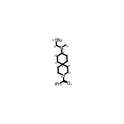 CC(C)C(=O)N1CCC2(CCC(N(C)CC(C)(C)C)CC2)CC1